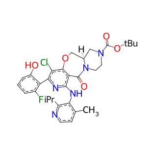 Cc1ccnc(C(C)C)c1Nc1nc(-c2c(O)cccc2F)c(Cl)c2c1C(=O)N1CCN(C(=O)OC(C)(C)C)C[C@@H]1CO2